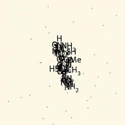 CO[C@H]1[C@@H](OCS)[C@H](n2cnc3c(=O)[nH]c(N)nc32)O[C@@H]1COP(=O)(S)O[C@@]12C[C@H](n3cnc4c(N)ncnc43)C1[C@@]2(C)COP=O